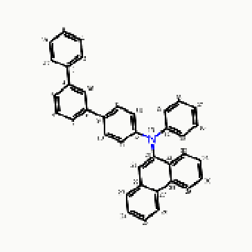 c1ccc(-c2cccc(-c3ccc(N(c4ccccc4)c4cc5ccccc5c5ccccc45)cc3)c2)cc1